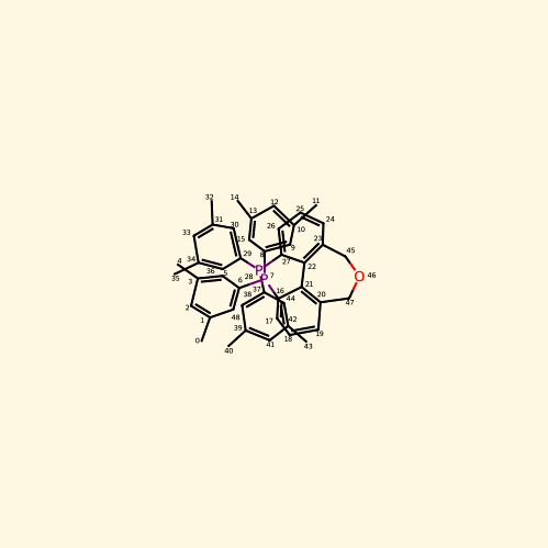 Cc1cc(C)cc(P(c2cc(C)cc(C)c2)c2cccc3c2-c2c(cccc2P(c2cc(C)cc(C)c2)c2cc(C)cc(C)c2)COC3)c1